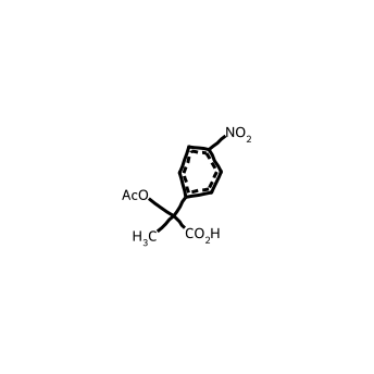 CC(=O)OC(C)(C(=O)O)c1ccc([N+](=O)[O-])cc1